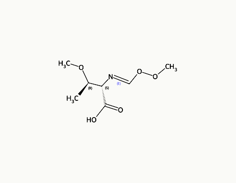 COO/C=N/[C@H](C(=O)O)[C@@H](C)OC